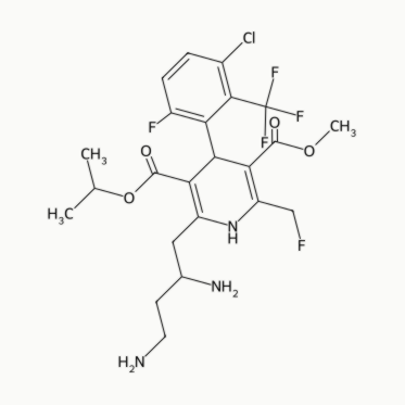 COC(=O)C1=C(CF)NC(CC(N)CCN)=C(C(=O)OC(C)C)C1c1c(F)ccc(Cl)c1C(F)(F)F